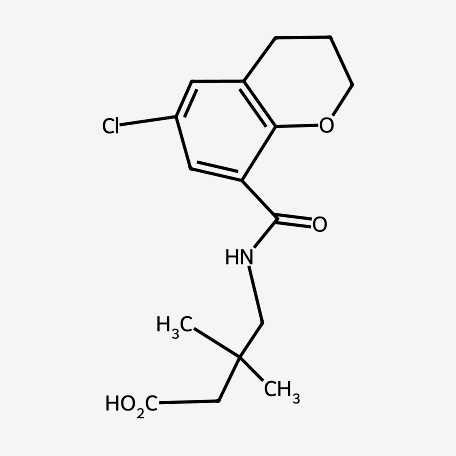 CC(C)(CNC(=O)c1cc(Cl)cc2c1OCCC2)CC(=O)O